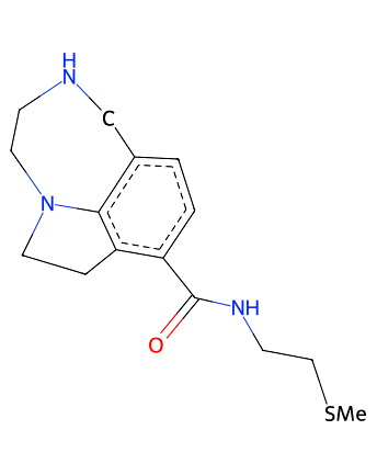 CSCCNC(=O)c1ccc2c3c1CCN3CCNC2